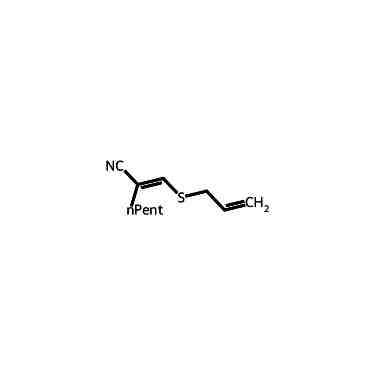 C=CCSC=C(C#N)CCCCC